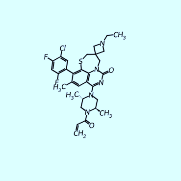 C=CC(=O)N1C[C@H](C)N(c2nc(=O)n3c4c(c(-c5cc(Cl)c(F)cc5F)c(C)cc24)SCC2(CN(CC)C2)C3)C[C@H]1C